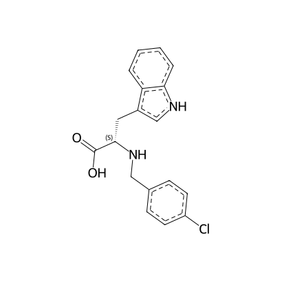 O=C(O)[C@H](Cc1c[nH]c2ccccc12)NCc1ccc(Cl)cc1